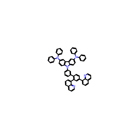 c1ccc(N(c2ccccc2)c2ccc3c(c2)c2cc(N(c4ccccc4)c4ccccc4)ccc2n3-c2cccc(-c3ccc(-c4cccc5cccnc45)cc3-c3cccc4cccnc34)c2)cc1